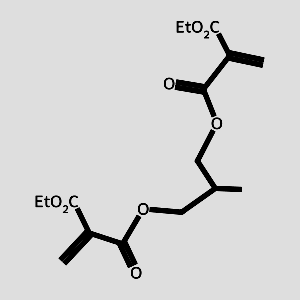 C=C(C(=O)OCC)C(=O)OCC(C)COC(=O)C(=C)C(=O)OCC